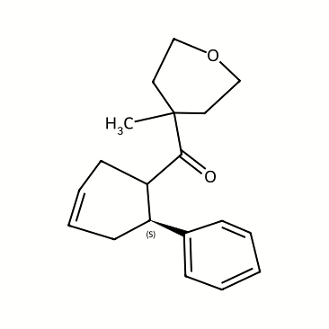 CC1(C(=O)C2CC=CC[C@@H]2c2ccccc2)CCOCC1